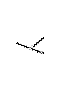 CCCCCCCCCCOC(CCC=COCOCC)OCCCCCCCCCC